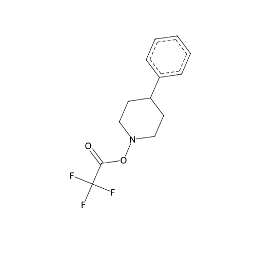 O=C(ON1CCC(c2ccccc2)CC1)C(F)(F)F